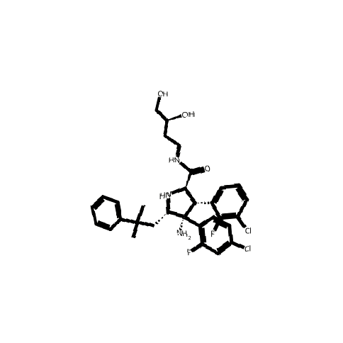 CC(C)(C[C@@H]1N[C@@H](C(=O)NCC[C@H](O)CO)[C@H](c2cccc(Cl)c2F)[C@@]1(N)c1ccc(Cl)cc1F)c1ccccc1